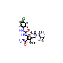 CCCc1c(CN(C)C(C)C2CCC2)sc(NC(=O)Nc2ccc(Cl)cc2)c1C(N)=O